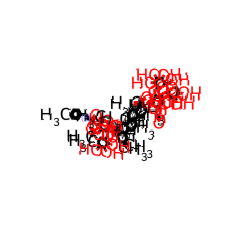 CC(=O)OC1C(OC(=O)/C=C/c2ccc(C)cc2)C(C)OC(OC(=O)[C@]23CCC(C)(C)C[C@H]2C2C=C[C@@H]4[C@@]5(C)CC[C@H](OC6OC(OC=O)C(O)C(OC7OCC(O)C(O)C7O)C6OC6OC(CO)C(O)C(O)C6O)[C@@](C)(C=O)[C@@H]5CC[C@@]4(C)[C@]2(C)C[C@H]3O)C1OC1CC(C)C(O)C(O)C1O